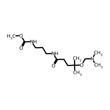 COC(=O)NCCCNC(=O)CCC(C)(C)OCN(C)C